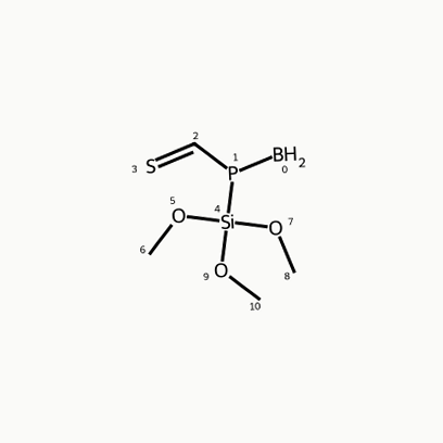 BP(C=S)[Si](OC)(OC)OC